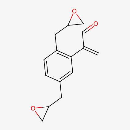 C=C(C=O)c1cc(CC2CO2)ccc1CC1CO1